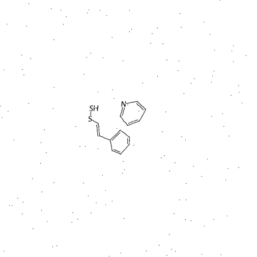 SSC=Cc1ccccc1.c1ccncc1